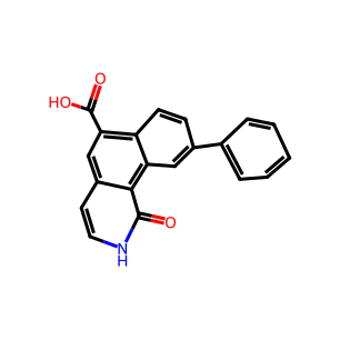 O=C(O)c1cc2cc[nH]c(=O)c2c2cc(-c3ccccc3)ccc12